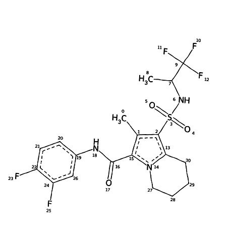 Cc1c(S(=O)(=O)NC(C)C(F)(F)F)c2n(c1C(=O)Nc1ccc(F)c(F)c1)CCCC2